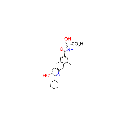 Cc1cc(C(=O)N[C@H](CO)C(=O)O)cc(C)c1Cc1ccc(O)c(C2CCCCC2)n1